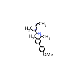 C=C/C(=C\C=C/C)C/N=C(/C)c1cc(-c2ccc(OC)cc2)ccc1C